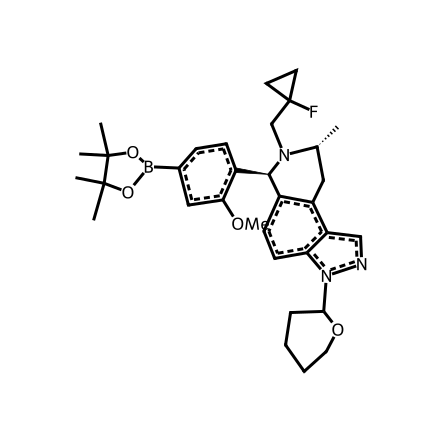 COc1cc(B2OC(C)(C)C(C)(C)O2)ccc1[C@@H]1c2ccc3c(cnn3C3CCCCO3)c2C[C@@H](C)N1CC1(F)CC1